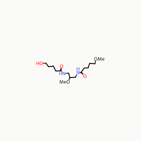 COCCCCC(=O)NCC(CNC(=O)CCCCO)OC